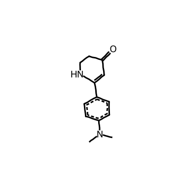 CN(C)c1ccc(C2=CC(=O)CCN2)cc1